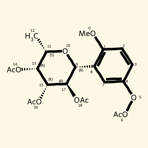 COc1ccc(OOC(C)=O)cc1[C@H]1O[C@@H](C)[C@@H](OC(C)=O)[C@@H](OC(C)=O)[C@@H]1OC(C)=O